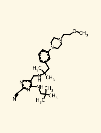 COCCN1CCN(c2cccc(CC(C)(C)NCc3cnc(C#N)nc3NCC(C)(C)C)c2)CC1